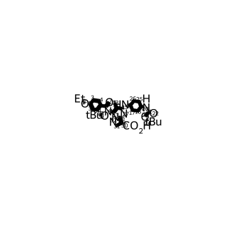 CCOc1ccc(C(=O)N(OC(C)(C)C)c2c(C)c(NC3CCC(NC(=O)OC(C)(C)C)CC3)nc3c(C(=O)O)cnn23)cc1